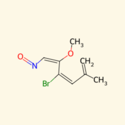 C=C(C)/C=C(Br)\C(=C/N=O)OC